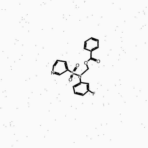 O=C(OCN(c1cccc(F)c1)S(=O)(=O)c1cccnc1)c1ccccc1